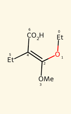 CCOC(OC)=C(CC)C(=O)O